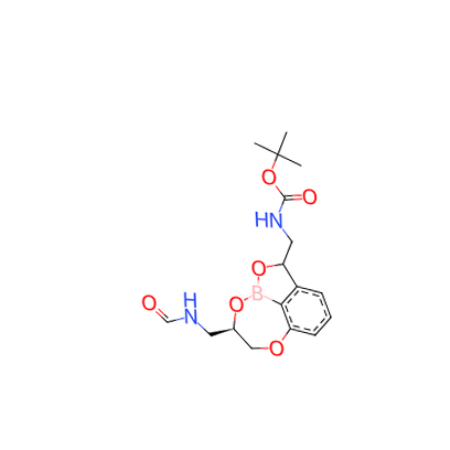 CC(C)(C)OC(=O)NCC1OB2O[C@H](CNC=O)COc3cccc1c32